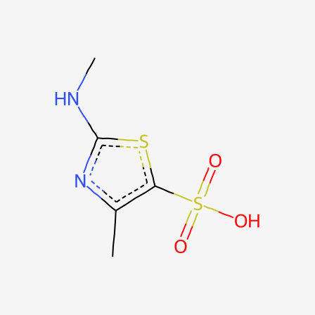 CNc1nc(C)c(S(=O)(=O)O)s1